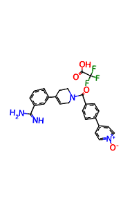 N=C(N)c1cccc(C2=CCN(C(=O)c3ccc(-c4cc[n+]([O-])cc4)cc3)CC2)c1.O=C(O)C(F)(F)F